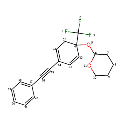 FC(F)(F)C1(OC2CCCCO2)C=CC(C#Cc2ccccc2)=CC1